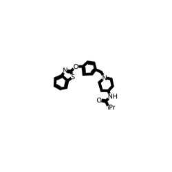 CC(C)C(=O)NC1CCN(Cc2ccc(Oc3nc4ccccc4s3)cc2)CC1